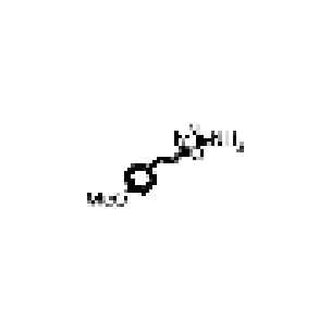 COc1ccc(CCc2nnc(N)o2)cc1